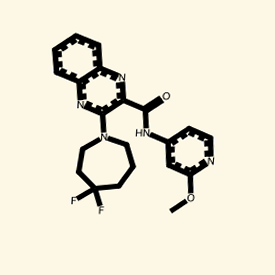 COc1cc(NC(=O)c2nc3ccccc3nc2N2CCCC(F)(F)CC2)ccn1